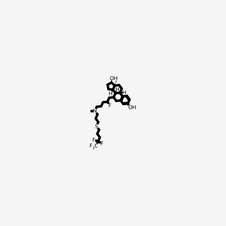 CN(CCCSCCCC(F)(F)C(F)(F)F)CCCC(F)CC1Cc2cc(O)ccc2[C@H]2CC[C@]3(C)[C@@H](O)CC[C@H]3[C@H]12